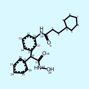 O=C(CCC1CCCCC1)Nc1cccc(C(C(=O)NO)c2ccccc2)c1